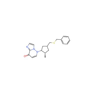 C[C@@H]1CC(CSCc2ccccc2)CC1n1ccc(=O)c2nccn21